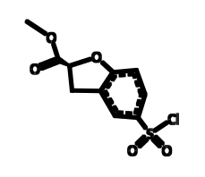 COC(=O)[C@@H]1Cc2cc(S(=O)(=O)Cl)ccc2O1